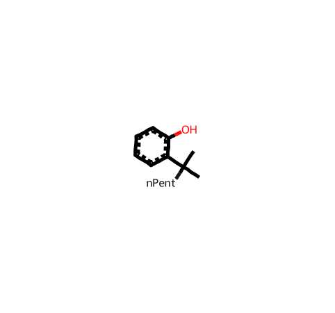 CCCCCC(C)(C)c1ccccc1O